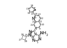 Nc1ncnc2c1c(-c1ccc3ccc(-c4cccs4)nc3c1)nn2C1CCC1